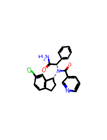 NC(=O)[C@H](c1ccccc1)N(C(=O)c1cccnc1)[C@@H]1CCc2ccc(Cl)cc21